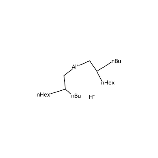 CCCCCCC(CCCC)[CH2][Al+][CH2]C(CCCC)CCCCCC.[H-]